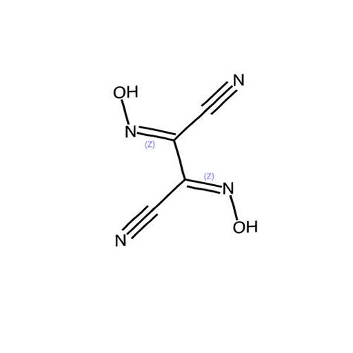 N#CC(=N\O)/C(C#N)=N/O